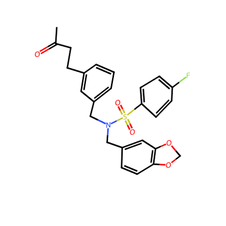 CC(=O)CCc1cccc(CN(Cc2ccc3c(c2)OCO3)S(=O)(=O)c2ccc(F)cc2)c1